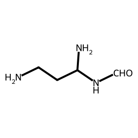 NCCC(N)NC=O